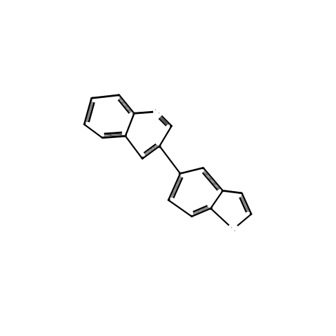 c1ccc2ncc(-c3ccc4[nH]ccc4c3)cc2c1